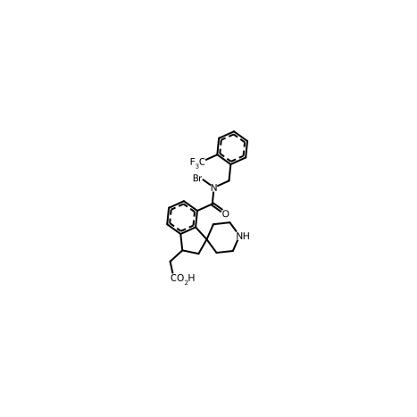 O=C(O)CC1CC2(CCNCC2)c2c(C(=O)N(Br)Cc3ccccc3C(F)(F)F)cccc21